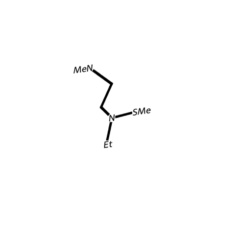 CCN(CCNC)SC